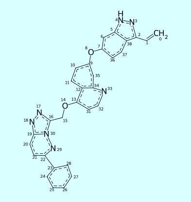 C=Cc1n[nH]c2cc(Oc3ccc4c(OCc5nnc6ccc(-c7ccccc7)nn56)ccnc4c3)ccc12